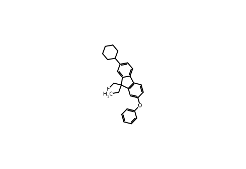 CCC1(CF)c2cc(Oc3ccccc3)ccc2-c2ccc(C3CCCCC3)cc21